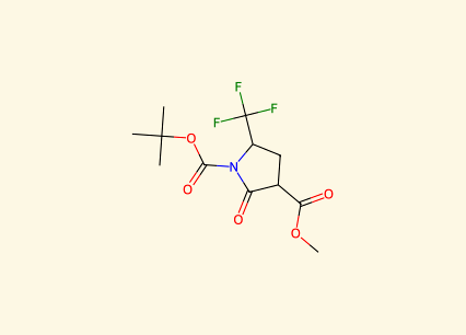 COC(=O)C1CC(C(F)(F)F)N(C(=O)OC(C)(C)C)C1=O